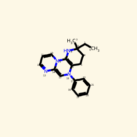 CCC1(C)CCC2=C(N1)N1C=CC=NC1=CN2c1ccccc1